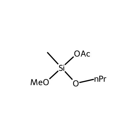 CCCO[Si](C)(OC)OC(C)=O